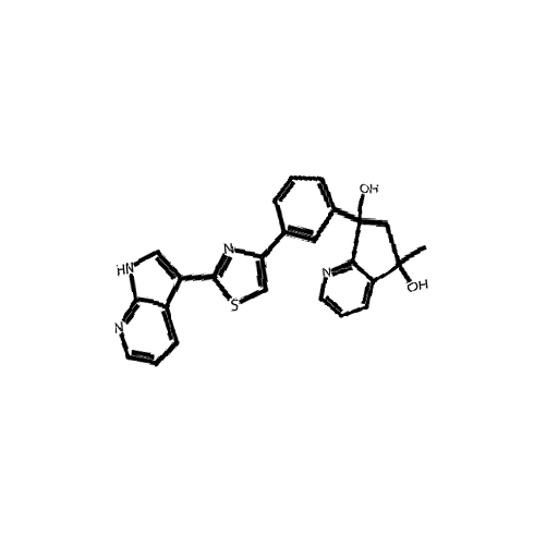 CC1(O)CC(O)(c2cccc(-c3csc(-c4c[nH]c5ncccc45)n3)c2)c2ncccc21